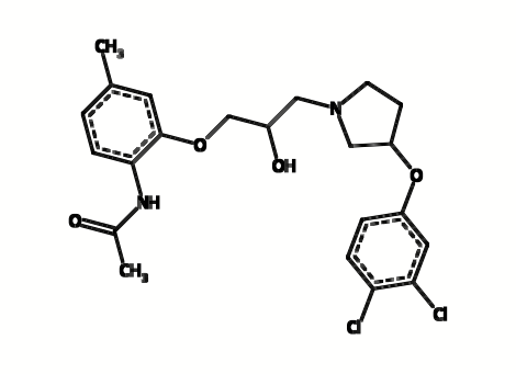 CC(=O)Nc1ccc(C)cc1OCC(O)CN1CCC(Oc2ccc(Cl)c(Cl)c2)C1